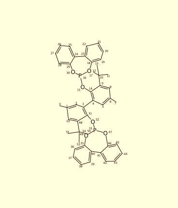 Cc1cc(-c2cc(C)cc(C(C)(C)C)c2Op2oc3ccccc3c3ccccc3o2)c(Op2oc3ccccc3c3ccccc3o2)c(C(C)(C)C)c1